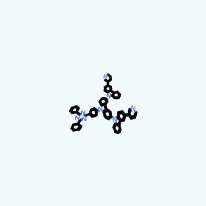 c1ccc(-c2nc(-c3ccccc3)nc(-c3ccc(-n4c5ccc(-n6c7ccccc7c7cc(-c8cccnc8)ccc76)cc5c5cc(-n6c7ccccc7c7cc(-c8cccnc8)ccc76)ccc54)cc3)n2)cc1